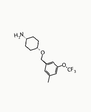 Cc1cc(CO[C@H]2CC[C@@H](N)CC2)cc(OC(F)(F)F)c1